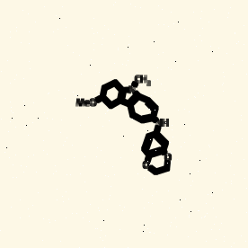 COC1CCc2c(c3c(n2C)C=CC(Nc2ccc4c(c2)OCCO4)=CC3)C1